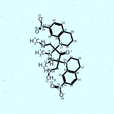 CNCC(NC)(C(=O)C(CNC)(NC)N1CCCc2ccc([N+](=O)[O-])cc21)N1CCCc2ccc([N+](=O)[O-])cc21